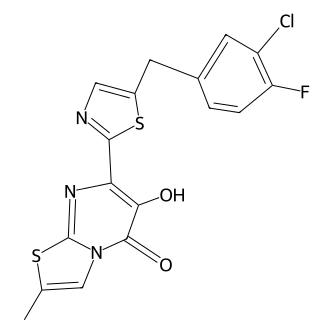 Cc1cn2c(=O)c(O)c(-c3ncc(Cc4ccc(F)c(Cl)c4)s3)nc2s1